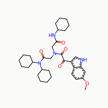 COc1ccc2c(C(=O)C(=O)N(CC(=O)NC3CCCCC3)CC(=O)N(C3CCCCC3)C3CCCCC3)c[nH]c2c1